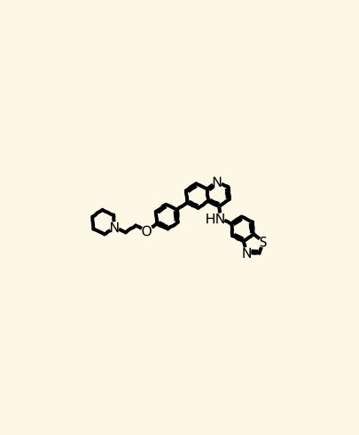 c1cc(Nc2ccc3scnc3c2)c2cc(-c3ccc(OCCN4CCCCC4)cc3)ccc2n1